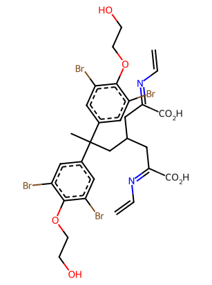 C=CN=C(CC(CC(=NC=C)C(=O)O)CC(C)(c1cc(Br)c(OCCO)c(Br)c1)c1cc(Br)c(OCCO)c(Br)c1)C(=O)O